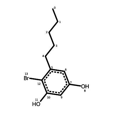 CCCCCc1cc(O)cc(O)c1Br